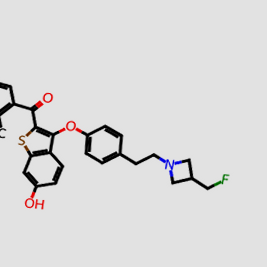 Cc1ccc(Cl)cc1C(=O)c1sc2cc(O)ccc2c1Oc1ccc(CCN2CC(CF)C2)cc1